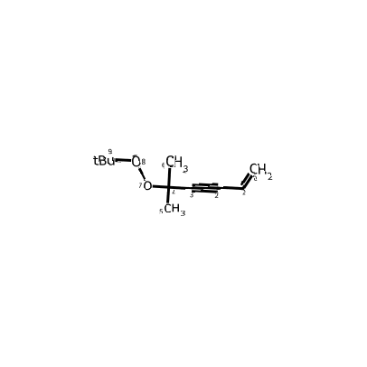 C=CC#CC(C)(C)OOC(C)(C)C